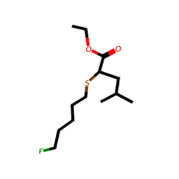 CCOC(=O)C(CC(C)C)SCCCCCF